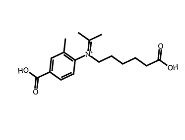 CC(C)=[N+](CCCCCC(=O)O)c1ccc(C(=O)O)cc1C